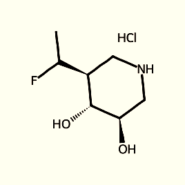 CC(F)[C@H]1CNC[C@@H](O)[C@@H]1O.Cl